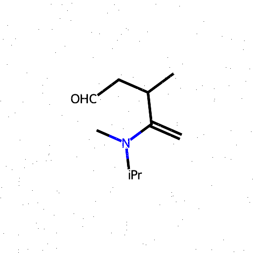 C=C(C(C)CC=O)N(C)C(C)C